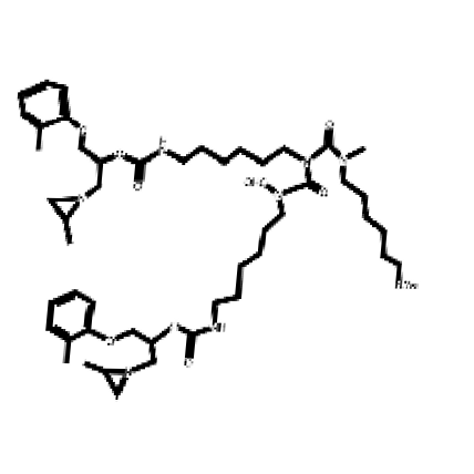 CNCCCCCCN(C)C(=O)N(CCCCCCNC(=O)OC(COc1ccccc1C)CN1CC1C)C(=O)N(C=O)CCCCCCNC(=O)OC(COc1ccccc1C)CN1CC1C